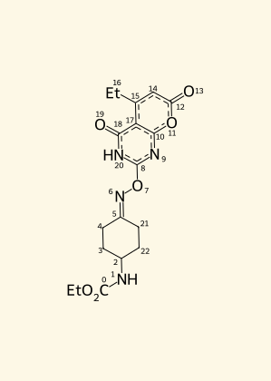 CCOC(=O)NC1CCC(=NOc2nc3oc(=O)cc(CC)c3c(=O)[nH]2)CC1